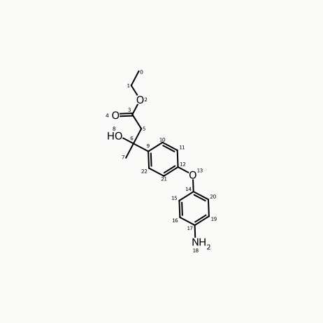 CCOC(=O)CC(C)(O)c1ccc(Oc2ccc(N)cc2)cc1